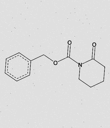 O=C1CCCCN1C(=O)OCc1ccccc1